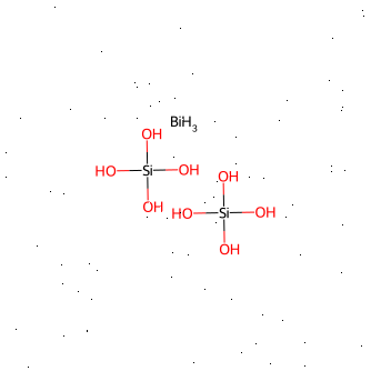 O[Si](O)(O)O.O[Si](O)(O)O.[BiH3]